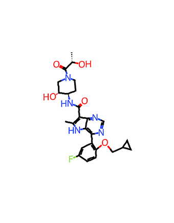 Cc1[nH]c2c(-c3cc(F)ccc3OCC3CC3)ncnc2c1C(=O)N[C@@H]1CCN(C(=O)[C@H](C)O)C[C@H]1O